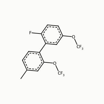 Cc1ccc(-c2cc(OC(F)(F)F)ccc2F)c(OC(F)(F)F)c1